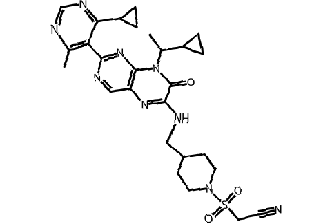 Cc1ncnc(C2CC2)c1-c1ncc2nc(NCC3CCN(S(=O)(=O)CC#N)CC3)c(=O)n(C(C)C3CC3)c2n1